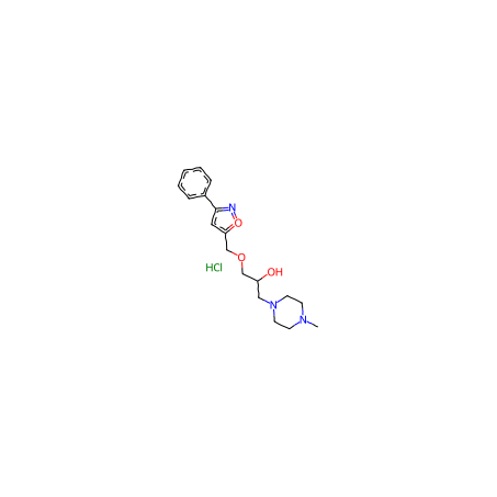 CN1CCN(CC(O)COCc2cc(-c3ccccc3)no2)CC1.Cl